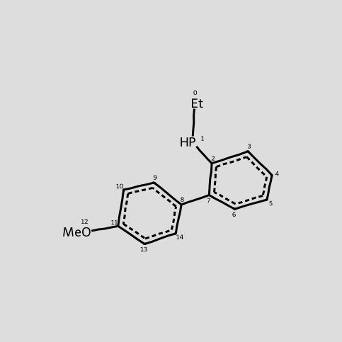 CCPc1ccccc1-c1ccc(OC)cc1